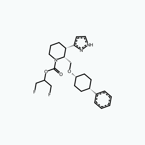 O=C(OC(CF)CF)N1CCC[C@H](c2cc[nH]n2)[C@@H]1CO[C@H]1CC[C@@H](c2ccccc2)CC1